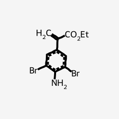 C=C(C(=O)OCC)c1cc(Br)c(N)c(Br)c1